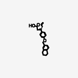 C=CC[C@@H](CC(=O)O)c1ccc(OCc2ccc3c(c2)CCCC3)cc1